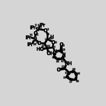 CC(C)[Si]1(C(C)C)OC[C@H]2O[C@@H](n3ccc(NC(=O)c4ccccc4)nc3=O)C(O)(O)C2O[Si](C(C)C)(C(C)C)O1